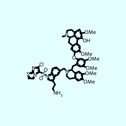 COc1cc(CC2c3cc(OC)c(OC)cc3CCN2Cc2ccc3c(c2)c(CCN)cn3S(=O)(=O)c2c(Cl)nc3sccn23)c(Oc2cc3c(cc2OC)-c2c(O)c(OC)cc4c2C(C3)N(C)CC4)cc1OC